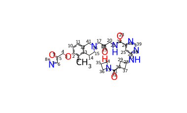 Cc1c(OCc2cnco2)ccc2c1CCN(C[C@@H](O)CNC(=O)c1cc(N[C@H]3C[C@H](C(=O)N4CCC4)C3)ncn1)C2